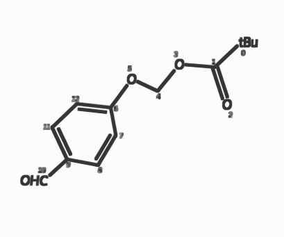 CC(C)(C)C(=O)OCOc1ccc(C=O)cc1